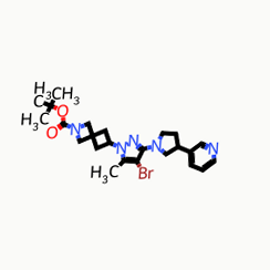 Cc1c(Br)c(N2CCC(c3cccnc3)C2)nn1C1CC2(C1)CN(C(=O)OC(C)(C)C)C2